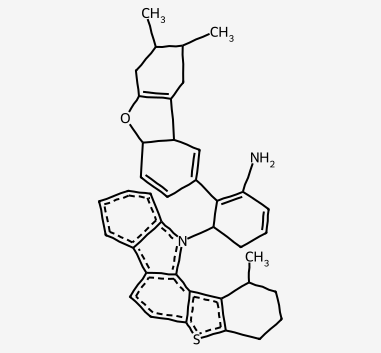 CC1CCCc2sc3ccc4c5ccccc5n(C5CC=CC(N)=C5C5=CC6C7=C(CC(C)C(C)C7)OC6C=C5)c4c3c21